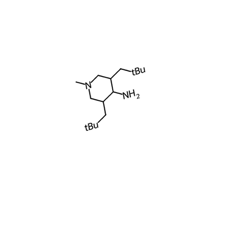 CN1CC(CC(C)(C)C)C(N)C(CC(C)(C)C)C1